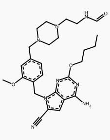 CCCCOc1nc(N)c2cc(C#N)n(Cc3ccc(CN4CCN(CCNC=O)CC4)cc3OC)c2n1